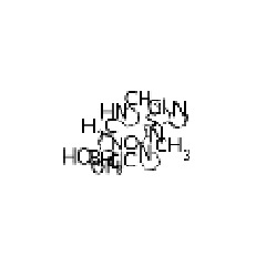 CC1CCCC(C)N1.CC1CCCC(C)N1C(=O)c1csc(-c2cccnc2Cl)n1.OB(O)c1cccnc1Cl